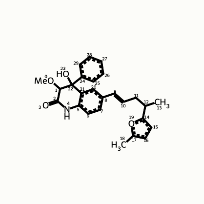 COC1C(=O)Nc2ccc(C=CCC(C)c3ccc(C)o3)cc2C1(O)c1ccccc1